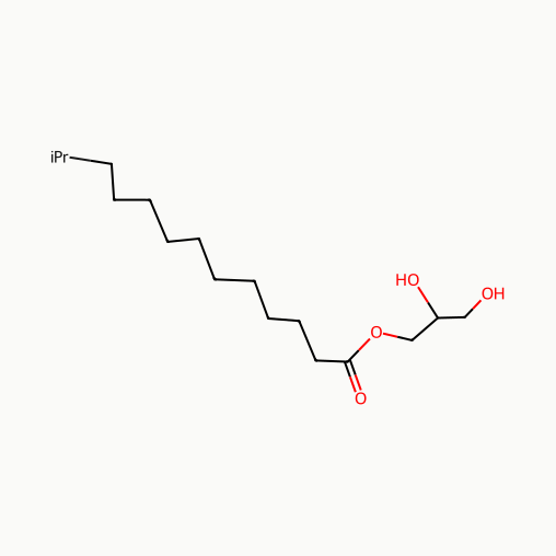 CC(C)CCCCCCCCCCC(=O)OCC(O)CO